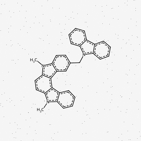 Cn1c2ccccc2c2c3c4cc(Cn5c6ccccc6c6ccccc65)ccc4n(C)c3ccc21